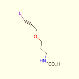 O=C(O)NCCCOCC#CI